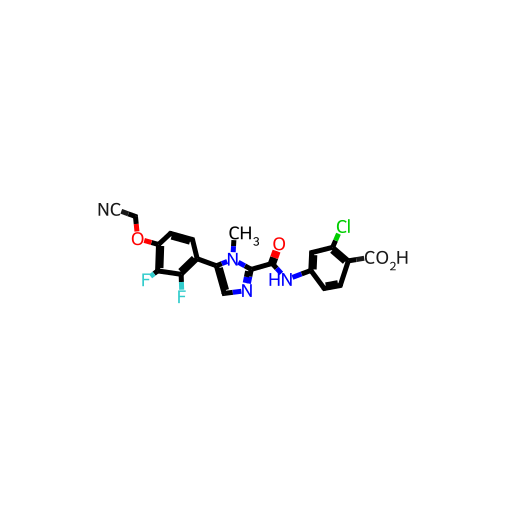 Cn1c(-c2ccc(OCC#N)c(F)c2F)cnc1C(=O)Nc1ccc(C(=O)O)c(Cl)c1